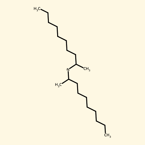 CCCCCCCCC(C)[N]C(C)CCCCCCCC